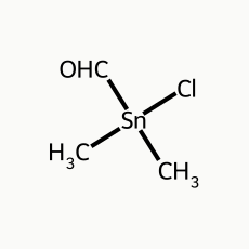 [CH3][Sn]([CH3])([Cl])[CH]=O